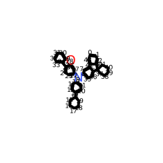 c1ccc(C2(c3ccc(N(c4ccc(C5CCCCC5)cc4)c4ccc5c(c4)oc4ccccc45)cc3)CCCCC2)cc1